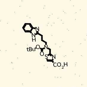 CC(C)(C)OC(=O)N(CCCc1nc2ccccc2[nH]1)Cc1nc(C(=O)O)cs1